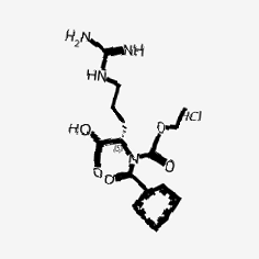 CCOC(=O)N(C(=O)c1ccccc1)[C@@H](CCCNC(=N)N)C(=O)O.Cl